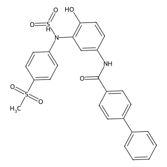 CS(=O)(=O)c1ccc(N(c2cc(NC(=O)c3ccc(-c4ccccc4)cc3)ccc2O)[SH](=O)=O)cc1